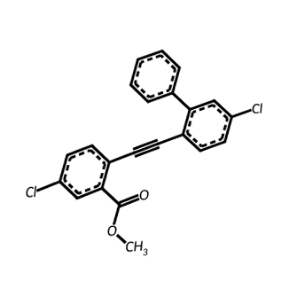 COC(=O)c1cc(Cl)ccc1C#Cc1ccc(Cl)cc1-c1ccccc1